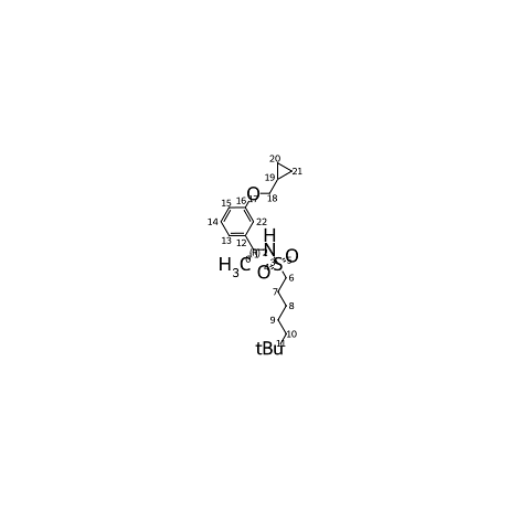 C[C@@H](NS(=O)(=O)CCCCCC(C)(C)C)c1cccc(OCC2CC2)c1